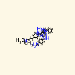 CN(C)CCCCC1CCN(Nc2nc(N[C@H]3CC[C@H](N)CC3)nc3c2ncn3C2CCCC2)CC1